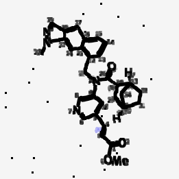 COC(=O)/C=C/c1cncc(N(Cc2cccc3cc4cnn(C)c4cc23)C(=O)[C@@H]2C[C@@H]3CC[C@H]2C3)c1